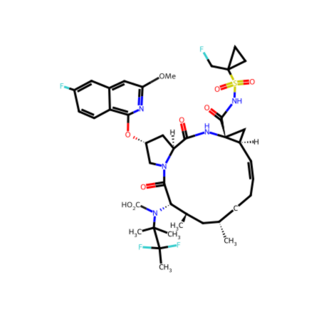 COc1cc2cc(F)ccc2c(O[C@@H]2C[C@H]3C(=O)N[C@]4(C(=O)NS(=O)(=O)C5(CF)CC5)C[C@H]4C=CCC[C@H](C)C[C@@H](C)[C@H](N(C(=O)O)C(C)(C)C(C)(F)F)C(=O)N3C2)n1